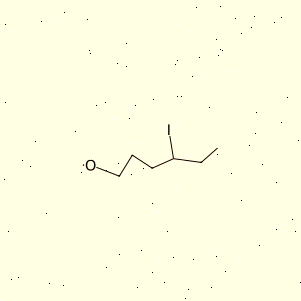 CCC(I)CCC[O]